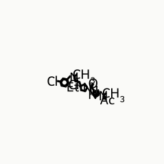 CCC1(CCN(C)Cc2cc(Cl)ccc2Cl)CCN(C(=O)n2cc(N(C)C(C)=O)cn2)C1